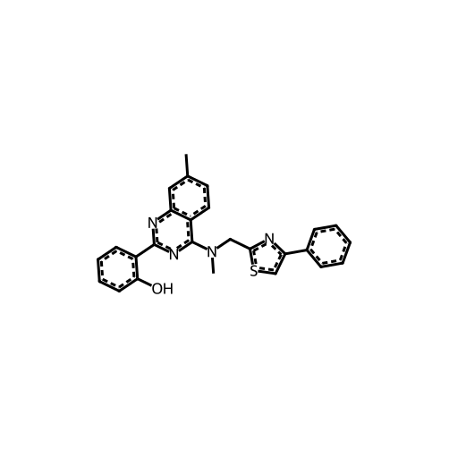 Cc1ccc2c(N(C)Cc3nc(-c4ccccc4)cs3)nc(-c3ccccc3O)nc2c1